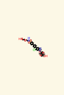 O=S(=O)(NCCOCCO)c1ccc(-c2ccc(-c3cc4ncn(O[C@@H]5CO[C@H]6[C@H]5OC[C@H]6O)c4cc3Cl)cc2)cc1